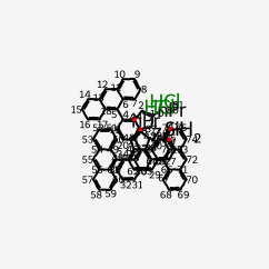 CCCC1=Cc2c(-c3c4ccccc4cc4ccccc34)ccc(-c3c4ccccc4cc4ccccc34)c2[CH]1[Zr]([CH3])([CH3])(=[SiH2])[CH]1C(CCC)=Cc2c(-c3c4ccccc4cc4ccccc34)ccc(-c3c4ccccc4cc4ccccc34)c21.Cl.Cl